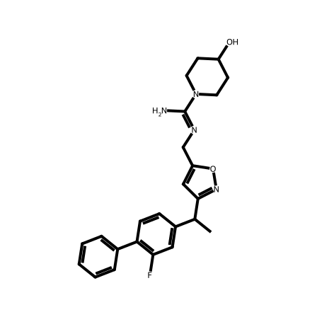 CC(c1ccc(-c2ccccc2)c(F)c1)c1cc(C/N=C(\N)N2CCC(O)CC2)on1